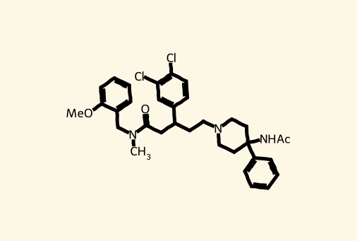 COc1ccccc1CN(C)C(=O)CC(CCN1CCC(NC(C)=O)(c2ccccc2)CC1)c1ccc(Cl)c(Cl)c1